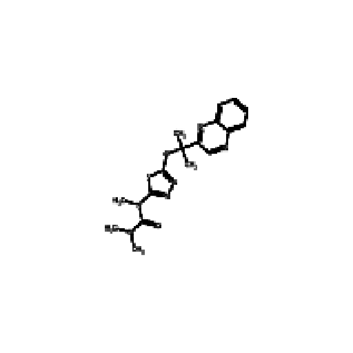 CN(C)C(=O)N(C)c1nnc(OC(C)(C)c2cnc3ccccc3n2)s1